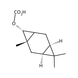 CC1(C)[C@@H]2CC3[C@@H](OC(=O)O)[C@@]3(C)C[C@@H]21